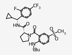 CC(C)(C)Nc1ccc(S(C)(=O)=O)cc1C(=O)N1CCC[C@@H]1C(=O)N[C@@H](c1ccc(C(F)(F)F)cc1F)C1CC1